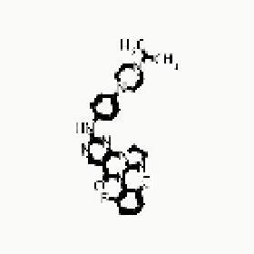 CC(C)N1CCN(c2ccc(Nc3ncc4c(n3)N3CCN=C3N(c3c(F)cccc3Cl)C4=O)cc2)CC1